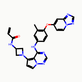 C=CC(=O)NC1CN(c2ccn3ncnc(Nc4ccc(Oc5ccn6ncnc6c5)c(C)c4)c23)C1